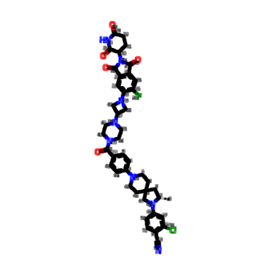 C[C@H]1CC2(CCN(c3ccc(C(=O)N4CCN(C5CN(c6cc7c(cc6F)C(=O)N(C6CCC(=O)NC6=O)C7=O)C5)CC4)cc3)CC2)CN1c1ccc(C#N)c(Cl)c1